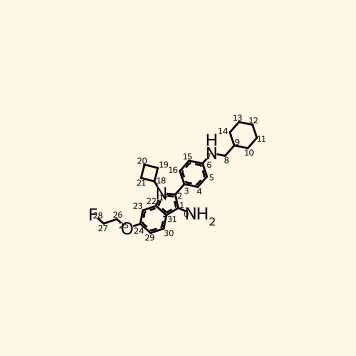 Nc1c(-c2ccc(NCC3CCCCC3)cc2)n(C2CCC2)c2cc(OCCF)ccc12